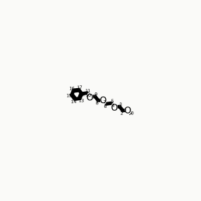 COCCOCCOCCOCc1ccccc1